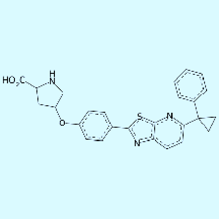 O=C(O)C1CC(Oc2ccc(-c3nc4ccc(C5(c6ccccc6)CC5)nc4s3)cc2)CN1